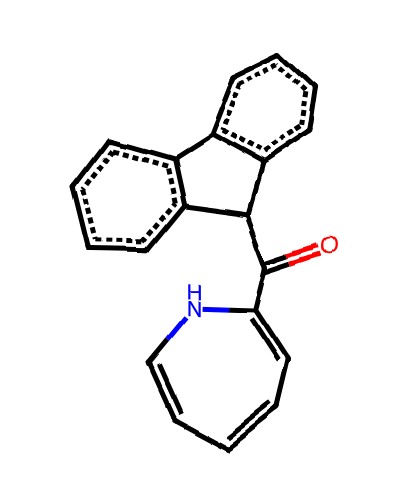 O=C(C1=CC=CC=CN1)C1c2ccccc2-c2ccccc21